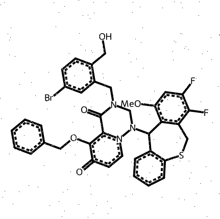 COc1cc(F)c(F)c2c1C(N1CN(Cc3cc(Br)ccc3CO)C(=O)c3c(OCc4ccccc4)c(=O)ccn31)c1ccccc1SC2